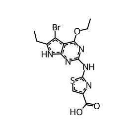 CCOc1nc(Nc2nc(C(=O)O)cs2)nc2[nH]c(CC)c(Br)c12